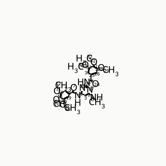 CNc1cc(NC(=O)c2cc(OC)c(OC)c(OC)c2)nc(NC(=O)c2cc(OC)c(OC)c(OC)c2)n1